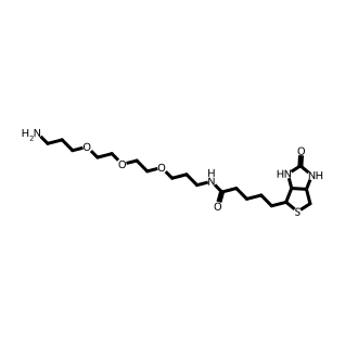 NCCCOCCOCCOCCCNC(=O)CCCCC1SCC2NC(=O)NC21